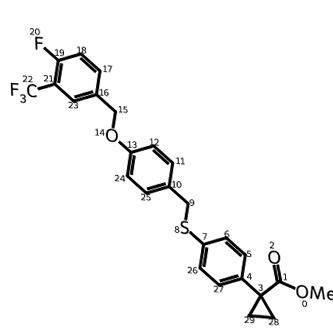 COC(=O)C1(c2ccc(SCc3ccc(OCc4ccc(F)c(C(F)(F)F)c4)cc3)cc2)CC1